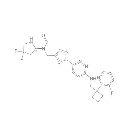 O=CN(Cc1cnc(-c2ccc(NCC3(c4ncccc4F)CCC3)nn2)s1)[C@H]1CC(F)(F)CN1